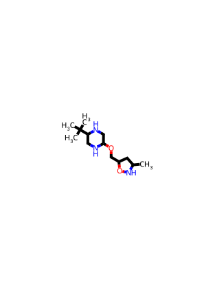 CC1CC(COC2CNC(C(C)(C)C)CN2)ON1